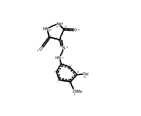 COc1ccc(NN=C2C(=O)NNC2=O)cc1O